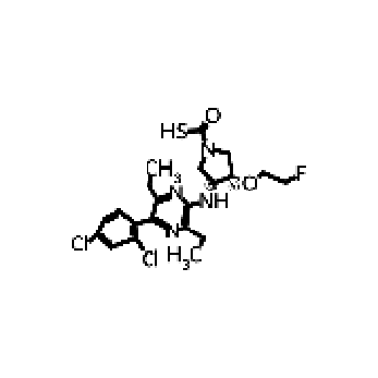 CCc1nc(-c2ccc(Cl)cc2Cl)c(CC)nc1N[C@@H]1CN(C(=O)S)C[C@@H]1OCCF